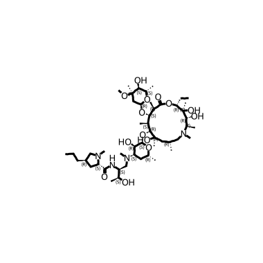 CCC[C@@H]1C[C@@H](C(=O)N[C@@H](CN(C)[C@H]2C[C@@H](C)O[C@@H](O[C@@H]3[C@@H](C)[C@H](O[C@H]4C[C@@](C)(OC)[C@@H](O)[C@H](C)O4)[C@@H](C)C(=O)O[C@H](CC)[C@@](C)(O)[C@H](O)[C@@H](C)N(C)C[C@H](C)C[C@@]3(C)O)[C@@H]2O)[C@H](C)O)N(C)C1